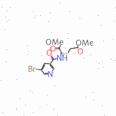 COC(=O)CC[C@H](NC(=O)c1cncc(Br)c1)C(=O)OC